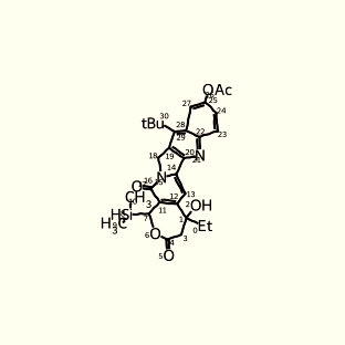 CCC1(O)CC(=O)OC([SiH](C)C)c2c1cc1n(c2=O)Cc2c-1nc1ccc(OC(C)=O)cc1c2C(C)(C)C